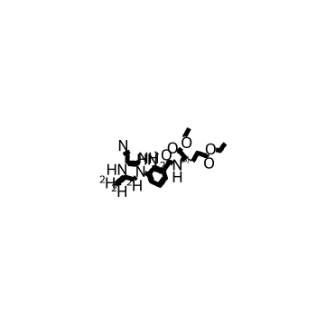 [2H]C([2H])=C1NC(C#N)=C(N)N(c2cccc(C(=O)N[C@@H](CCC(=O)OCC)C(=O)OCC)c2NC)C1[2H]